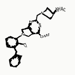 COc1nc(CN2CC(NC(C)=O)C2)nc2c1CN(c1cccc(-c3ccccc3)c1Cl)C2